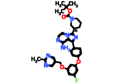 Cc1ncc(COc2cc(F)cc(Oc3ccc(-c4nc([C@@H]5CCCN(C(=O)OC(C)(C)C)C5)n5ccnc(N)c45)cc3)c2)cn1